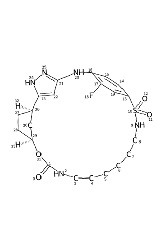 O=C1NCCCCCCNS(=O)(=O)c2ccc(c(F)c2)Nc2cc([nH]n2)[C@@H]2CC[C@@H](C2)O1